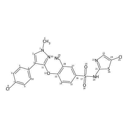 Cn1cc(-c2ccc(Cl)cc2)c(Oc2ccc(S(=O)(=O)Nc3ncc(Cl)s3)cc2C#N)n1